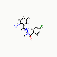 C/C(=N\N(C)C(=O)c1ccc(Cl)cc1)c1cc(C)ccc1N